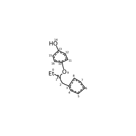 CCN(Cc1ccccc1)Oc1ccc(O)cc1